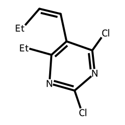 CC/C=C\c1c(Cl)nc(Cl)nc1CC